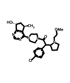 COCCN1CCCC1C(C(=O)N1CCN(c2ncnc3c2[C@H](C)C[C@H]3O)CC1)c1ccc(Cl)cc1